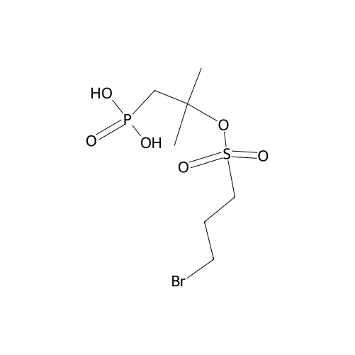 CC(C)(CP(=O)(O)O)OS(=O)(=O)CCCBr